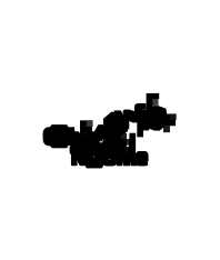 COc1ccc2ncc(CN3CCOCC3)c([C@H](F)CCC3(C(=O)NO)CCN(CCSc4c(F)cc(F)cc4F)CC3)c2c1